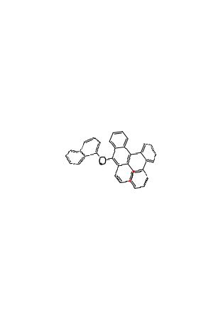 c1ccc(-c2ccccc2-c2c3ccccc3c(Oc3cccc4ccccc34)c3ccccc23)cc1